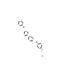 C=COCCc1ccc(C(=O)Oc2ccc(-c3ccc(OC(=O)c4ccc(OCC=O)cc4)cc3)cc2)cc1